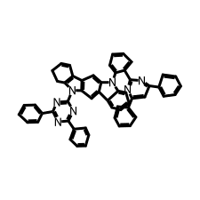 C1=Cc2c(n(-c3nc(-c4ccccc4)nc(-c4ccccc4)n3)c3cc4c5ccccc5n(-c5ccccc5-c5nc(-c6ccccc6)cc(-c6ccccc6)n5)c4cc23)CC1